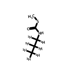 [2H]C([2H])([2H])C([2H])([2H])C([2H])([2H])NC(=O)SC